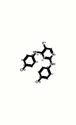 Fc1cnc(Nc2ccc(Cl)cc2)nc1Nc1ccc(Cl)cc1